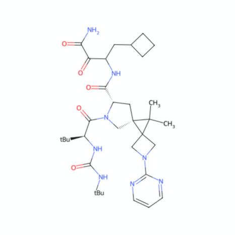 CC(C)(C)NC(=O)N[C@H](C(=O)N1C[C@]2(C[C@H]1C(=O)NC(CC1CCC1)C(=O)C(N)=O)C(C)(C)C21CN(c2ncccn2)C1)C(C)(C)C